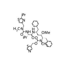 CO[C@@H](C[C@H](Cc1ccccc1)NC(=O)[C@@H](NC(=O)N(C)Cc1csc(C(C)C)n1)C(C)C)[C@H](Cc1ccccc1)N(C)C(=O)OCc1cncs1